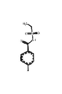 CCS(=O)(=O)NC(=O)c1ccc(F)cc1